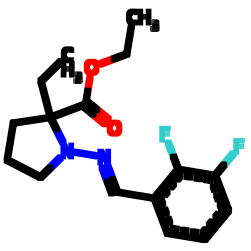 CCOC(=O)C1(CC)CCCN1N=Cc1cccc(F)c1F